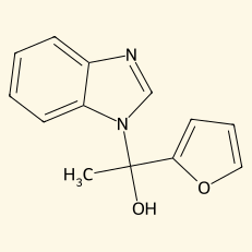 CC(O)(c1ccco1)n1cnc2ccccc21